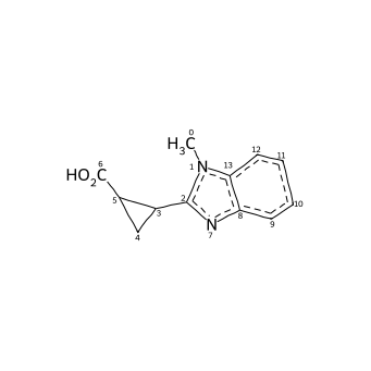 Cn1c(C2CC2C(=O)O)nc2ccccc21